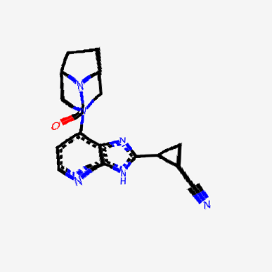 N#CC1CC1c1nc2c(N3CC4CCC(C3)N4C=O)ccnc2[nH]1